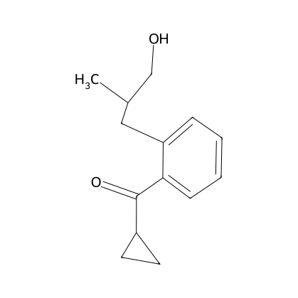 CC(CO)Cc1ccccc1C(=O)C1CC1